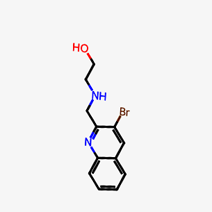 OCCNCc1nc2ccccc2cc1Br